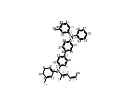 C/C=C\C=C(/C)N(C1=CCCC(C)=C1)c1ccc(-c2ccc(N(c3ccccc3)c3cccc(C)c3)cc2)cc1